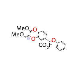 CO/C=C(/Oc1cccc(COc2ccccc2)c1C(=O)O)C(=O)OC